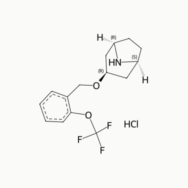 Cl.FC(F)(F)Oc1ccccc1CO[C@H]1C[C@H]2CC[C@@H](C1)N2